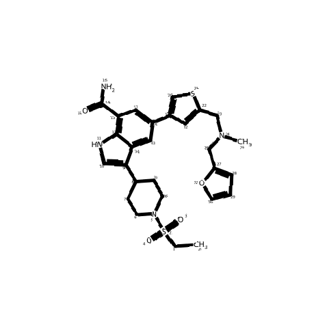 CCS(=O)(=O)N1CCC(c2c[nH]c3c(C(N)=O)cc(-c4csc(CN(C)Cc5ccco5)c4)cc23)CC1